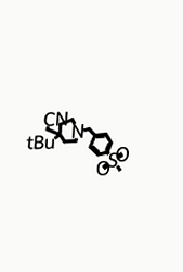 CC(C)(C)C1(CC#N)CCN(Cc2ccc(S(C)(=O)=O)cc2)CC1